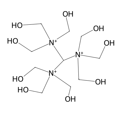 OC[N+](CO)(CO)C([N+](CO)(CO)CO)[N+](CO)(CO)CO